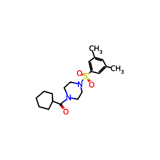 Cc1cc(C)cc(S(=O)(=O)N2CCN(C(=O)C3CCCCC3)CC2)c1